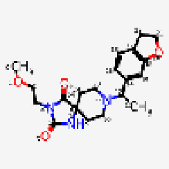 COCCN1C(=O)NC2(CCN([C@H](C)c3ccc4c(c3)OCC4)CC2)C1=O